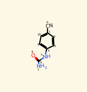 N#Cc1c[c]c(NC(N)=O)cc1